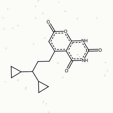 O=c1[nH]c(=O)c2c(CCC(C3CC3)C3CC3)cc(=O)oc2[nH]1